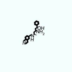 C[C@H](CC(N)CC(O)c1ccccc1)NCc1ccc2cnccc2c1